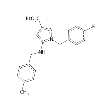 CCOC(=O)c1cc(NCc2ccc(C)cc2)n(Cc2ccc(F)cc2)n1